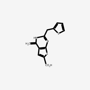 C=C1NC(Cc2cccs2)=Nc2sc(C(=O)O)cc21